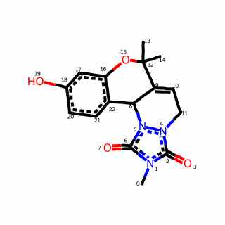 Cn1c(=O)n2n(c1=O)C1C(=CC2)C(C)(C)Oc2cc(O)ccc21